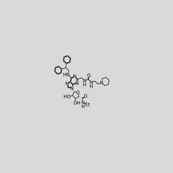 CCNC(=O)[C@H]1O[C@@H](n2cnc3c(NCC(c4ccccc4)c4ccccc4)nc(CNC(=O)NCCN4CCCCC4)nc32)[C@H](O)[C@@H]1O